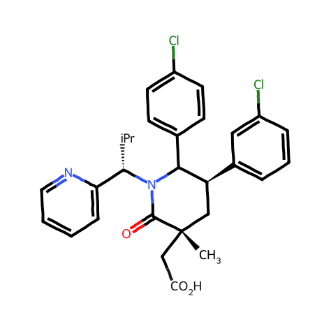 CC(C)[C@@H](c1ccccn1)N1C(=O)[C@@](C)(CC(=O)O)C[C@H](c2cccc(Cl)c2)C1c1ccc(Cl)cc1